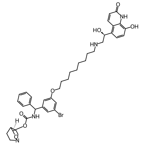 O=C(NC(c1ccccc1)c1cc(Br)cc(OCCCCCCCCCNC[C@@H](O)c2ccc(O)c3[nH]c(=O)ccc23)c1)O[C@H]1CN2CCC1CC2